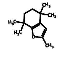 Cc1cc2c(o1)C(C)(C)CCC2(C)C